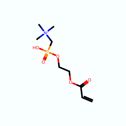 C=CC(=O)OCCOP(=O)(O)C[N+](C)(C)C